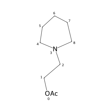 CC(=O)OCCN1CCCCC1